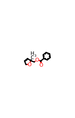 CC1(COC(=O)c2ccccc2)C=CCO1